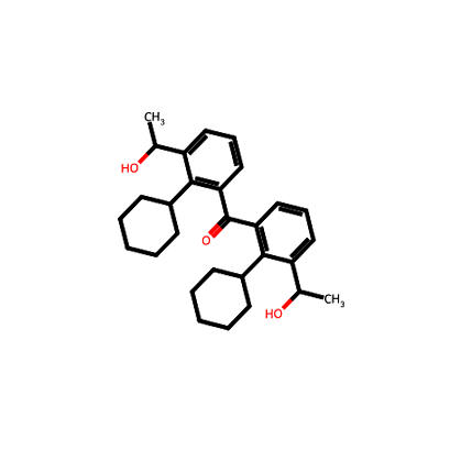 CC(O)c1cccc(C(=O)c2cccc(C(C)O)c2C2CCCCC2)c1C1CCCCC1